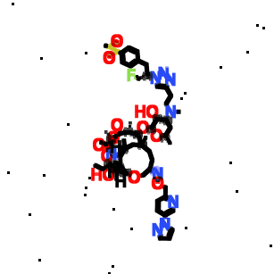 CC[C@H]1OC(=O)[C@H](C)C(=O)[C@H](C)[C@@H](O[C@@H]2O[C@H](C)C[C@H](N(C)CCc3cn([C@H](CF)Cc4ccc(S(C)(=O)=O)cc4)nn3)[C@H]2O)[C@]2(C)CC/C(=N/OCc3ccc(-n4cccn4)cn3)CO[C@H]([C@@H](C)/C(=N/C(C)=O)[C@H](C)C2)[C@]1(C)O